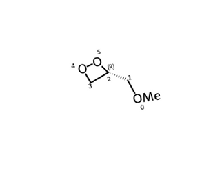 COC[C@@H]1COO1